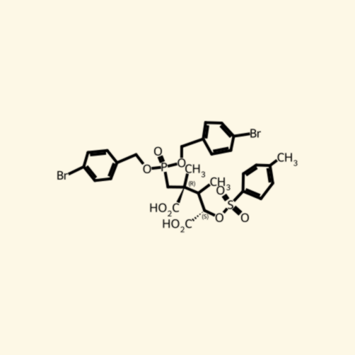 Cc1ccc(S(=O)(=O)O[C@H](C(=O)O)C(C)[C@@](C)(CP(=O)(OCc2ccc(Br)cc2)OCc2ccc(Br)cc2)C(=O)O)cc1